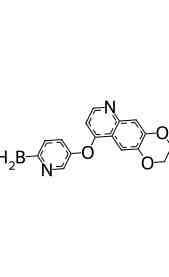 Bc1ccc(Oc2ccnc3cc4c(cc23)OCCO4)cn1